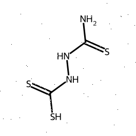 NC(=S)NNC(=S)S